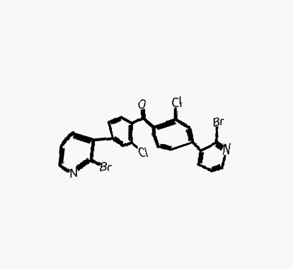 O=C(c1ccc(-c2cccnc2Br)cc1Cl)c1ccc(-c2cccnc2Br)cc1Cl